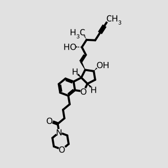 CC#CC[C@@H](C)[C@@H](O)/C=C/[C@@H]1[C@H]2c3cccc(CCCC(=O)N4CCOCC4)c3O[C@H]2C[C@H]1O